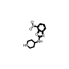 O=[N+]([O-])c1cccc2nc(NC3CCNCC3)oc12